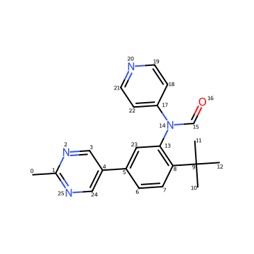 Cc1ncc(-c2ccc(C(C)(C)C)c(N(C=O)c3ccncc3)c2)cn1